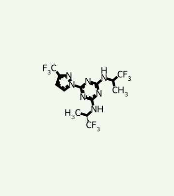 CC(Nc1nc(N[C@@H](C)C(F)(F)F)nc(-n2ccc(C(F)(F)F)n2)n1)C(F)(F)F